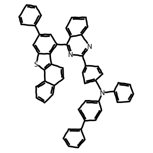 c1ccc(-c2ccc(N(c3ccccc3)c3ccc(-c4nc(-c5cc(-c6ccccc6)cc6sc7c8ccccc8ccc7c56)c5ccccc5n4)cc3)cc2)cc1